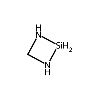 C1N[SiH2]N1